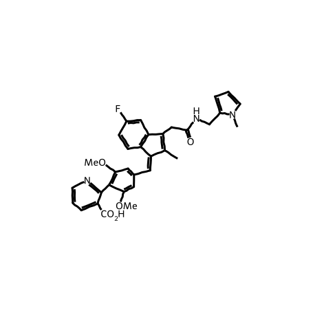 COc1cc(/C=C2/C(C)=C(CC(=O)NCc3cccn3C)c3cc(F)ccc32)cc(OC)c1-c1ncccc1C(=O)O